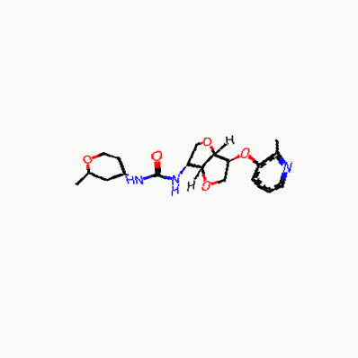 Cc1ncccc1O[C@H]1CO[C@H]2[C@@H]1OC[C@@H]2NC(=O)NC1CCOC(C)C1